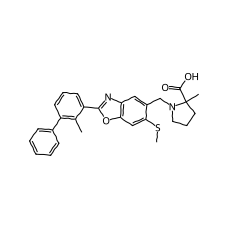 CSc1cc2oc(-c3cccc(-c4ccccc4)c3C)nc2cc1CN1CCCC1(C)C(=O)O